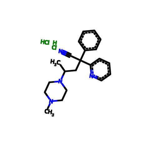 CC(CC(C#N)(c1ccccc1)c1ccccn1)N1CCN(C)CC1.Cl.Cl